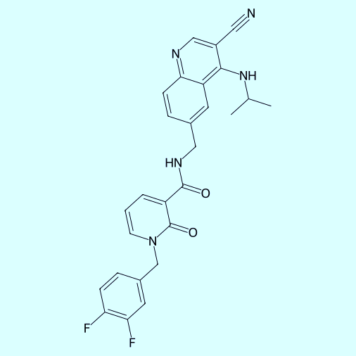 CC(C)Nc1c(C#N)cnc2ccc(CNC(=O)c3cccn(Cc4ccc(F)c(F)c4)c3=O)cc12